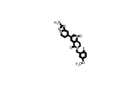 Nc1nc2cc(-c3cc4c([n+]([O-])c3)CCN(Cc3cc(OC(F)(F)F)ccc3F)C4=O)ccn2n1